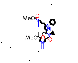 COC[C@@H]1CNC[C@H](C(=O)N(C2CC2)[C@H](C)c2cc(CCCNC(=O)OC)n(-c3ccccc3)n2)O1